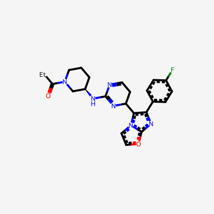 CCC(=O)N1CCC[C@@H](NC2=NC(c3c(-c4ccc(F)cc4)nc4occn34)CC=N2)C1